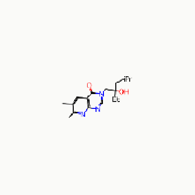 CCC(O)(CC(C)C)Cn1cnc2nc(C)c(C)cc2c1=O